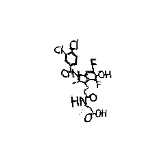 Cc1c(CCC(=O)N[C@@H](C)CC(=O)O)c2c(F)c(O)c(F)cc2n1C(=O)c1ccc(Cl)c(Cl)c1